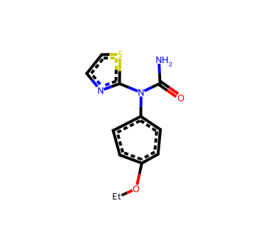 CCOc1ccc(N(C(N)=O)c2nccs2)cc1